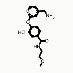 COCCNC(=O)c1ccc(Oc2cc(CN)ccn2)cc1.Cl